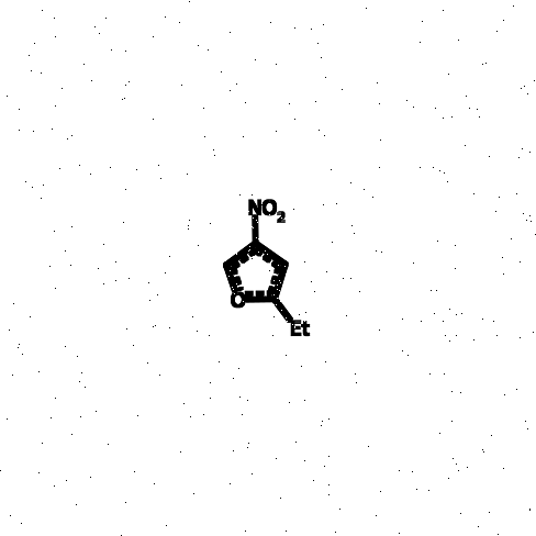 CCc1cc([N+](=O)[O-])co1